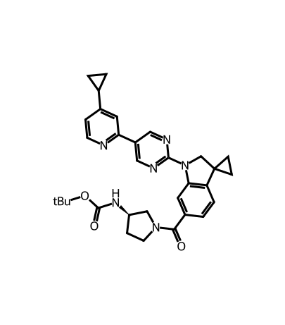 CC(C)(C)OC(=O)N[C@@H]1CCN(C(=O)c2ccc3c(c2)N(c2ncc(-c4cc(C5CC5)ccn4)cn2)CC32CC2)C1